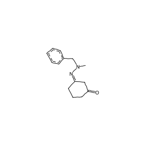 CN(Cc1ccccc1)/N=C1/CCCC(=O)C1